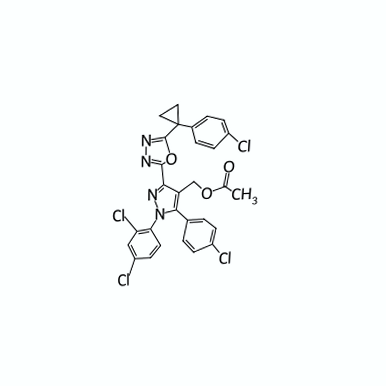 CC(=O)OCc1c(-c2nnc(C3(c4ccc(Cl)cc4)CC3)o2)nn(-c2ccc(Cl)cc2Cl)c1-c1ccc(Cl)cc1